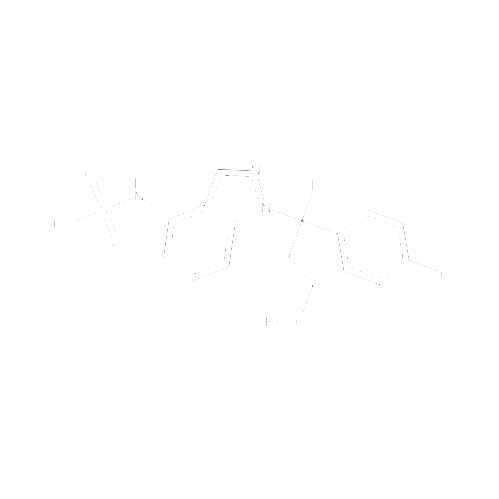 CCC(C=CC(=O)O)(c1ccc(Cl)cc1)n1ncc2c(NS(C)(=O)=O)cccc21